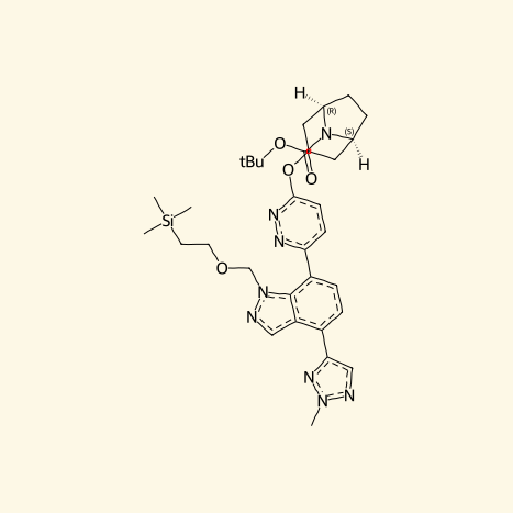 Cn1ncc(-c2ccc(-c3ccc(OC4C[C@H]5CC[C@@H](C4)N5C(=O)OC(C)(C)C)nn3)c3c2cnn3COCC[Si](C)(C)C)n1